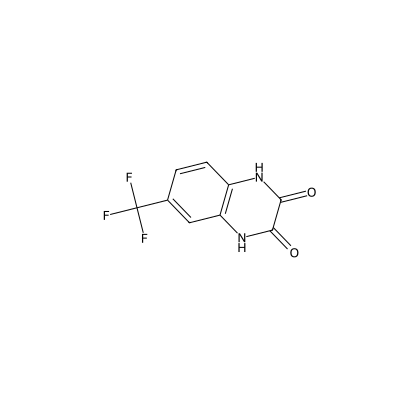 O=c1[nH]c2ccc(C(F)(F)F)cc2[nH]c1=O